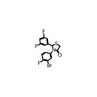 O=C1CSC(c2cc(F)cc(F)c2)N1c1ccc(F)c(Br)c1